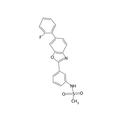 CS(=O)(=O)Nc1cccc(-c2nc3ccc(-c4ccccc4F)cc3o2)c1